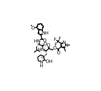 COc1cccc2[nH]c(C(=O)N[C@@H](CC(C)C)C(=O)N[C@@H](C[C@@H]3CCCNC3O)C(=O)COC(=O)c3c(C(F)(F)F)nn(C)c3C)cc12